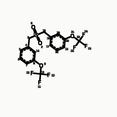 O=S(=O)(Cc1cccc(OC(F)(F)F)c1)Cc1cccc(OC(F)(F)F)c1